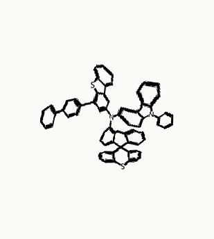 c1ccc(-c2ccc(-c3cc(N(c4ccc5c(c4)c4ccccc4n5-c4ccccc4)c4cccc5c4-c4ccccc4C54c5ccccc5Sc5ccccc54)cc4c3sc3ccccc34)cc2)cc1